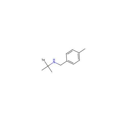 [2H]C(C)(C)NCc1ccc(C)cc1